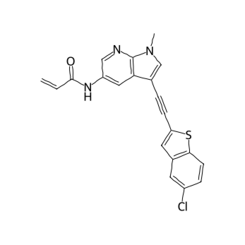 C=CC(=O)Nc1cnc2c(c1)c(C#Cc1cc3cc(Cl)ccc3s1)cn2C